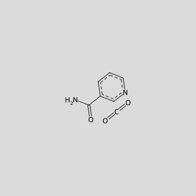 NC(=O)c1cccnc1.O=C=O